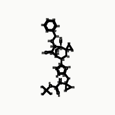 CC(C)(C)OC(=O)NC1(Cc2nnc([C@@H]3CC4(CC4)[C@H]4CN3C(=O)N4OCc3ccccc3)o2)CC1